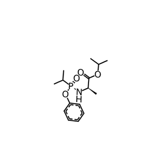 CC(C)OC(=O)[C@@H](C)N[P@](=O)(Oc1ccccc1)C(C)C